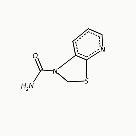 NC(=O)N1[CH]Sc2ncccc21